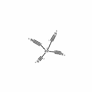 N#[C][Re]([C]#N)([C]#N)[C]#N